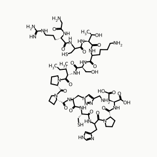 CC[C@H](C)[C@H](NC(=O)[C@H](CO)NC(=O)C(CCCCN)NC(=O)[C@@H](NC(=O)C(CS)NC(=O)[C@H](CCCNC(=N)N)NC(=O)CN)[C@@H](C)O)C(=O)N1CCC[C@H]1C(=O)N1CCC[C@H]1C(=O)N[C@@H](Cn1cc(CN)nn1)C(=O)N[C@@H](CS)C(=O)NC(Cc1c[nH]cn1)C(=O)N1CCC[C@H]1C(=O)N[C@@H](CC(=O)O)C(=O)O